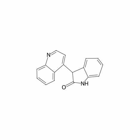 O=C1Nc2ccccc2C1c1ccnc2ccccc12